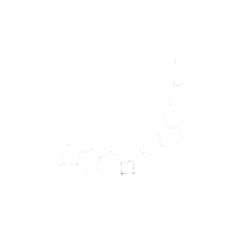 CS(=O)(=O)NCCOc1cccc(CNc2c(Nc3ccc4[nH]cnc4c3)c(=O)c2=O)c1